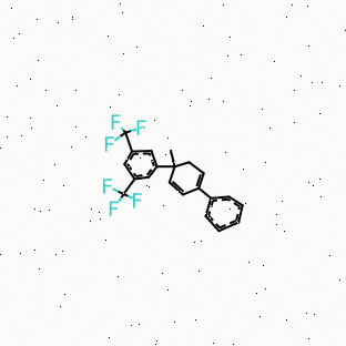 CC1(c2cc(C(F)(F)F)cc(C(F)(F)F)c2)C=CC(c2ccccc2)=CC1